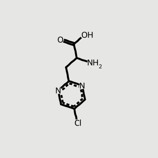 NC(Cc1ncc(Cl)cn1)C(=O)O